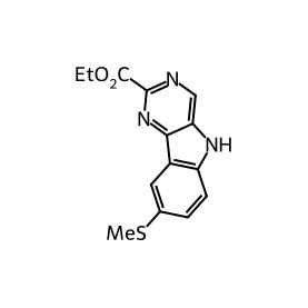 CCOC(=O)c1ncc2[nH]c3ccc(SC)cc3c2n1